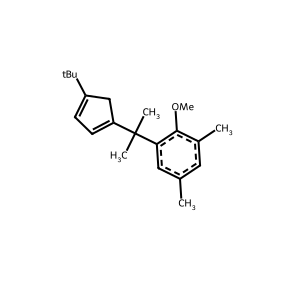 COc1c(C)cc(C)cc1C(C)(C)C1=CC=C(C(C)(C)C)C1